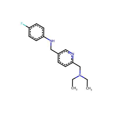 CCN(CC)Cc1ccc(CNc2ccc(F)cc2)cn1